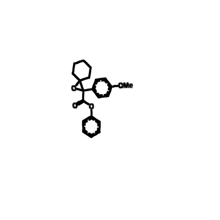 COc1ccc(C2(C(=O)Oc3ccccc3)OC23CCCCC3)cc1